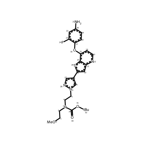 COCCN(CCn1cc(-c2cc3nccc(Oc4ccc(N)cc4F)c3s2)cn1)C(=O)OC(C)(C)C